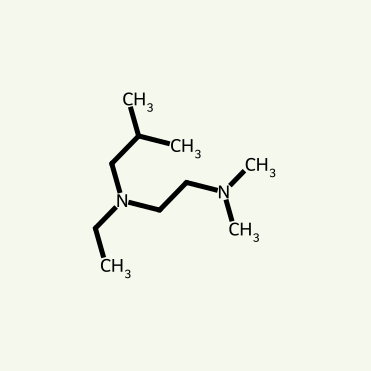 CCN(CCN(C)C)CC(C)C